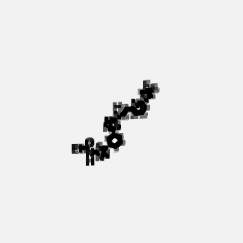 CCC(=O)Nc1nnc([C@H]2CCC[C@H](c3nnc(NCCc4cccc(N5CC(F)(F)C5)n4)s3)C2)s1